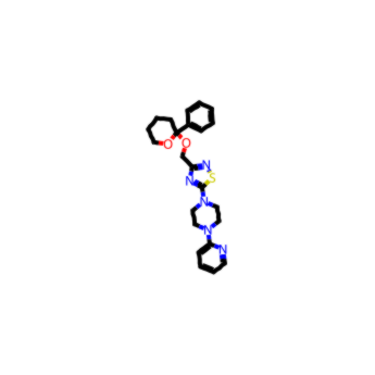 c1ccc(C2(OCc3nsc(N4CCN(c5ccccn5)CC4)n3)CCCCO2)cc1